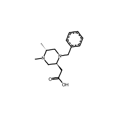 C[C@@H]1CN(Cc2ccccc2)[C@@H](CC(=O)O)CN1C